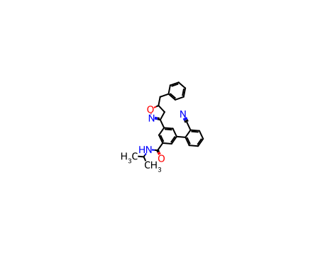 CC(C)NC(=O)c1cc(C2=NOC(Cc3ccccc3)C2)cc(-c2ccccc2C#N)c1